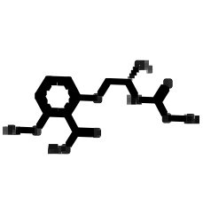 CCCCOc1cccc(OC[C@H](C)NC(=O)OC(C)(C)C)c1C(=O)OC